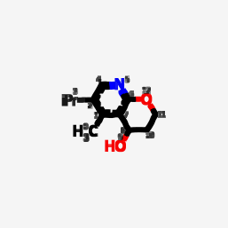 Cc1c(C(C)C)cnc2c1C(O)CCO2